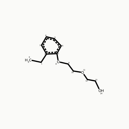 CCc1ccccc1OCCOCCO